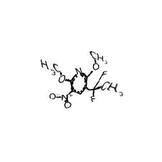 COc1nc(OC)c(C(C)(F)F)cc1[N+](=O)[O-]